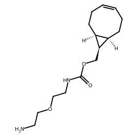 NCCOCCNC(=O)OC[C@@H]1[C@@H]2CC/C=C\CC[C@@H]21